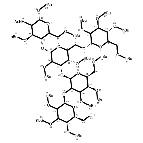 CCCCOCC1O[C@H](OCC2O[C@@H](O[C@H]3C(COCCCC)O[C@@H](OCCCC)C(NC(C)=O)[C@@H]3OCCCC)C(OCCCC)[C@@H](O[C@H]3O[C@@H](COCCCC)[C@@H](OCCCC)C(OCCCC)C3O[C@H]3O[C@@H](CO)[C@@H](OCCCC)C(OCCCC)C3OCCCC)[C@H]2OCCCC)C(OCCCC)[C@@H](OCCCC)[C@@H]1OCCCC